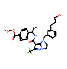 COC(=O)c1ccc(C(C)NC(=O)c2c(C(F)(F)F)nn3c2N(Cc2cccc(CCCO)c2)CC3)cc1